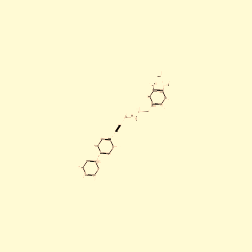 C(#Cc1ccc(-c2ccccc2)cc1)CNCCc1ccc2c(c1)OCO2